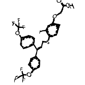 O=C(O)COc1ccc(SCC=C(c2ccc(OC(F)(F)F)cc2)c2ccc(OC(F)(F)F)cc2)c(I)c1